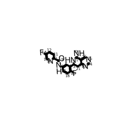 N=C1NC(c2cc(NC(=O)c3ccc(F)cn3)ccc2F)Cc2ncncc21